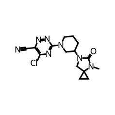 CN1C(=O)N(C2CCCN(c3nnc(C#N)c(Cl)n3)C2)CC12CC2